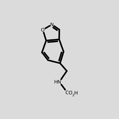 O=C(O)NCc1ccc2oncc2c1